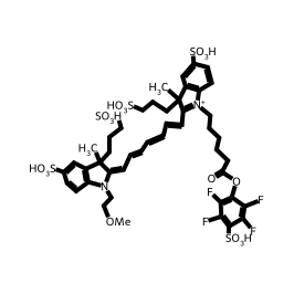 COCCN1/C(=C/C=C/C=C/C=C/C2=[N+](CCCCCC(=O)Oc3c(F)c(F)c(S(=O)(=O)O)c(F)c3F)c3ccc(S(=O)(=O)O)cc3C2(C)CCCS(=O)(=O)O)C(C)(CCCS(=O)(=O)O)c2cc(S(=O)(=O)O)ccc21